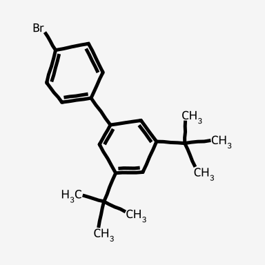 CC(C)(C)c1cc(-c2ccc(Br)cc2)cc(C(C)(C)C)c1